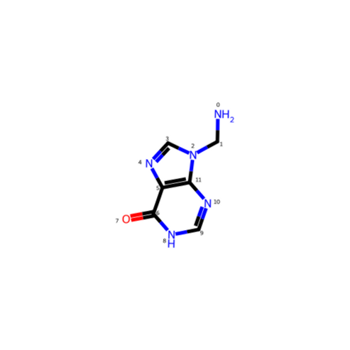 NCn1cnc2c(=O)[nH]cnc21